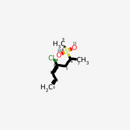 C=C/C=C(/Cl)CC(C)S(C)(=O)=O